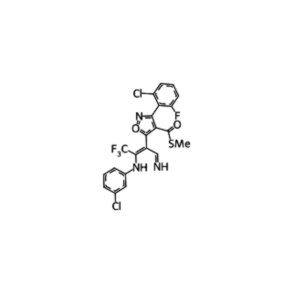 CSC(=O)c1c(-c2c(F)cccc2Cl)noc1/C(C=N)=C(/Nc1cccc(Cl)c1)C(F)(F)F